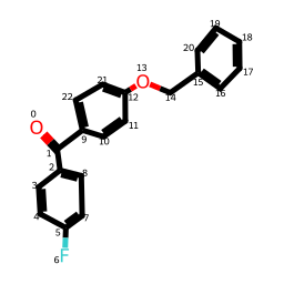 O=C(c1ccc(F)cc1)c1ccc(OCc2ccccc2)cc1